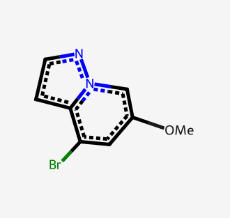 COc1cc(Br)c2ccnn2c1